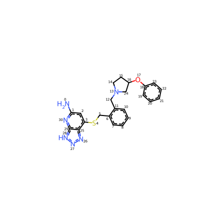 Nc1cc(SCc2ccccc2CN2CCC(Oc3ccccc3)C2)c2nn[nH]c2n1